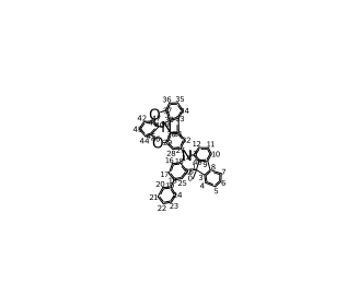 CC1(C)c2ccccc2-c2cccc(N(c3ccc(-c4ccccc4)cc3)c3cc4c5c(c3)c3cccc6c3n5-c3c(cccc3O4)O6)c21